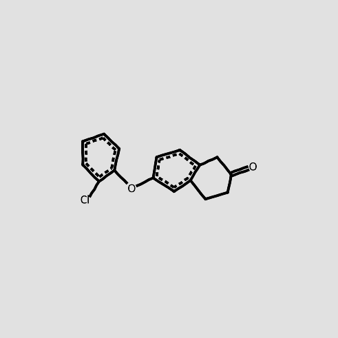 O=C1CCc2cc(Oc3ccccc3Cl)ccc2C1